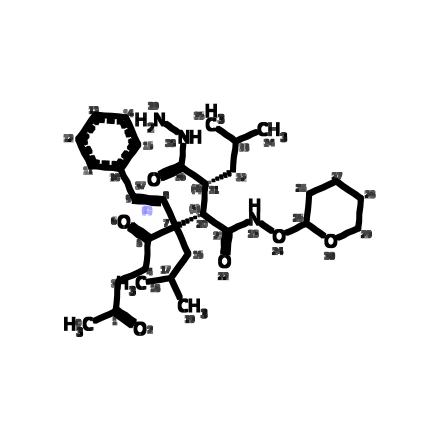 CC(=O)CCC(=O)C(/C=C/c1ccccc1)(CC(C)C)[C@@H](C(=O)NOC1CCCCO1)[C@@H](CC(C)C)C(=O)NN